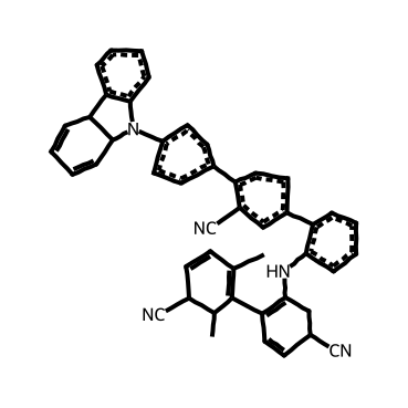 CC1=C(C2=C(Nc3ccccc3-c3ccc(-c4ccc(N5c6ccccc6C6C=CC=CC65)cc4)c(C#N)c3)CC(C#N)C=C2)C(C)C(C#N)C=C1